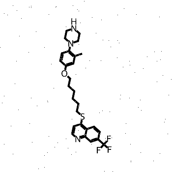 Cc1cc(OCCCCCCSc2ccnc3cc(C(F)(F)F)ccc23)ccc1N1CCNCC1